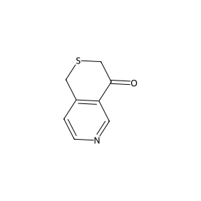 O=C1CSCc2ccncc21